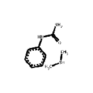 NC(=O)Nc1c[c]ccc1.[CH3][Sn][CH3]